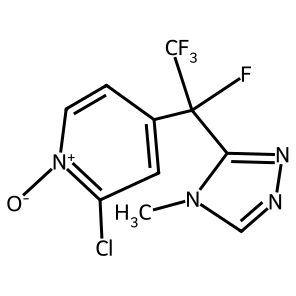 Cn1cnnc1C(F)(c1cc[n+]([O-])c(Cl)c1)C(F)(F)F